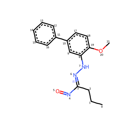 CCC/C(N=O)=N\Nc1cc(-c2ccccc2)ccc1OC